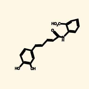 O=C(C=CC=Cc1ccc(O)c(O)c1)Nc1ccccc1C(=O)O